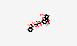 O=C(O)C(OC(=O)[C@H](O)[C@@H](O)C(=O)OC1=CC[C@@]2(O)[C@@H]3CCC[C@@]24c2c(ccc(O)c2O[C@@H]14)C3)c1ccccc1